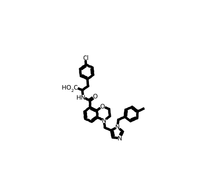 Cc1ccc(Cn2cncc2CN2CCOc3c(C(=O)NC(Cc4ccc(Cl)cc4)C(=O)O)cccc32)cc1